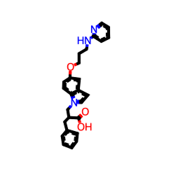 O=C(O)C(Cc1ccccc1)Cn1ccc2cc(OCCCNc3ccccn3)ccc21